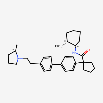 CCOC(=O)[C@@H]1CCCC[C@H]1NC(=O)C1(c2ccc(-c3ccc(CCN4CCC[C@H]4C)cc3)cc2)CCCC1